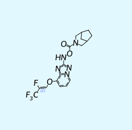 O=C(ONc1nc2c(O/C=C(\F)C(F)(F)F)cccn2n1)N1CC2CCC(C2)C1